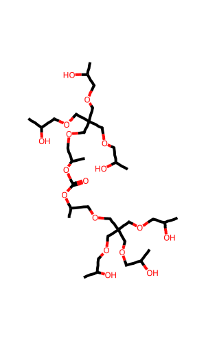 CC(O)COCC(COCC(C)O)(COCC(C)O)COCC(C)OC(=O)OC(C)COCC(COCC(C)O)(COCC(C)O)COCC(C)O